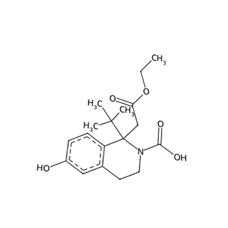 CCOC(=O)CC1(C(C)(C)C)c2ccc(O)cc2CCN1C(=O)O